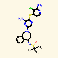 CC(C)(C)[S@@+]([O-])NC1CCN(c2cnc(Sc3ccnc(N)c3Cl)c(N)n2)Cc2ccccc21